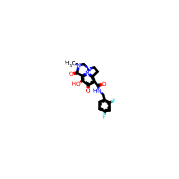 CN1CN2CCc3c(C(=O)NCc4ccc(F)cc4F)c(=O)c(O)c(n32)C1=O